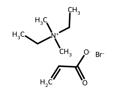 C=CC([O])=O.CC[N+](C)(C)CC.[Br-]